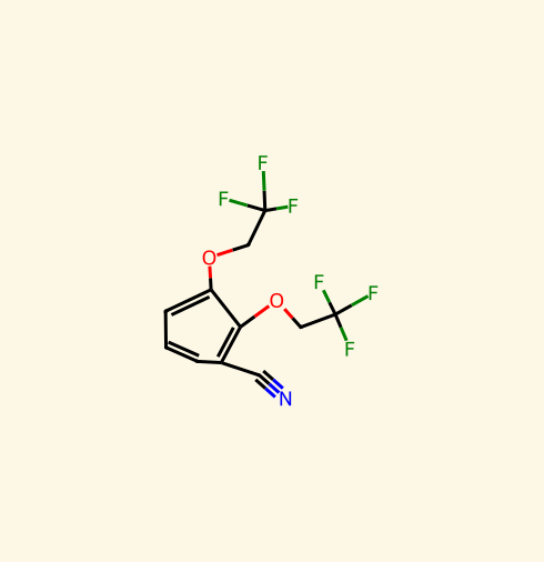 N#Cc1cccc(OCC(F)(F)F)c1OCC(F)(F)F